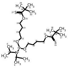 CC(C)N(C(C)C)P(OCCCCOC(=S)C(C)(C)C)OCCCCOC(=S)C(C)(C)C